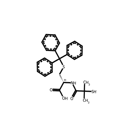 CC(C)(S)C(=O)N[C@@H](CSC(c1ccccc1)(c1ccccc1)c1ccccc1)C(=O)O